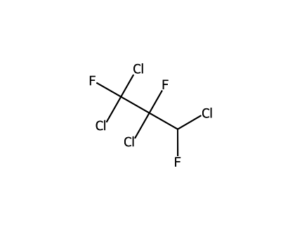 FC(Cl)C(F)(Cl)C(F)(Cl)Cl